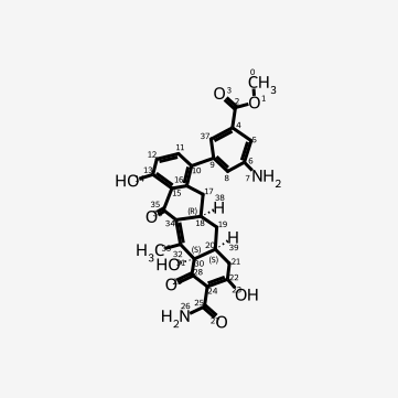 COC(=O)c1cc(N)cc(-c2ccc(O)c3c2C[C@H]2C[C@H]4CC(O)=C(C(N)=O)C(=O)[C@@]4(O)C(C)=C2C3=O)c1